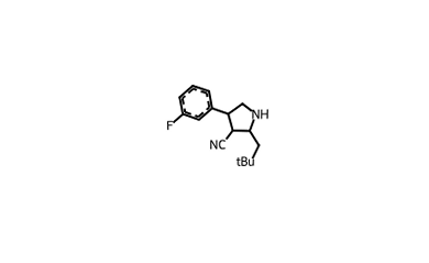 CC(C)(C)CC1NCC(c2cccc(F)c2)C1C#N